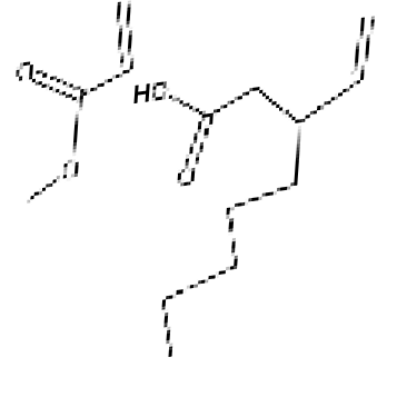 C=CC(=O)OC.C=CC(CCCCC)CC(=O)O